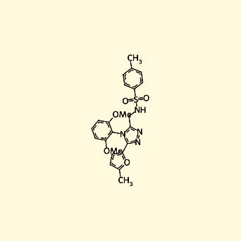 COc1cccc(OC)c1-n1c(CNS(=O)(=O)c2ccc(C)cc2)nnc1-c1ccc(C)o1